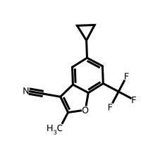 Cc1oc2c(C(F)(F)F)cc(C3CC3)cc2c1C#N